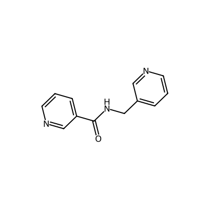 O=C(NCc1cccnc1)c1cccnc1